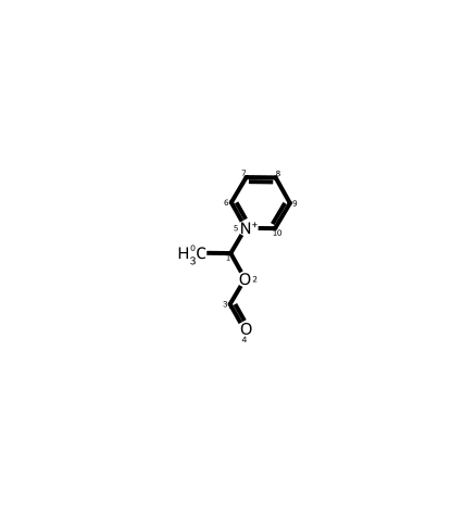 CC(O[C]=O)[n+]1ccccc1